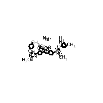 COc1nc(Oc2ccc(C)cc2)nc(-c2ccc(C=Cc3ccc(-c4nc(OC)nc(Oc5ccc(C)cc5N)n4)cc3S(=O)(=O)[O-])c(S(=O)(=O)[O-])c2)n1.[Na+].[Na+]